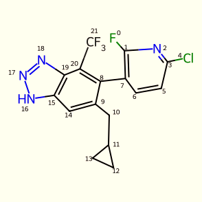 Fc1nc(Cl)ccc1-c1c(CC2CC2)cc2[nH]nnc2c1C(F)(F)F